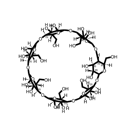 OC[C@H]1OC2O[C@H]3[C@H](O)[C@@H](O)C(O[C@H]4[C@H](O)[C@@H](O)C(O[C@H]5[C@H](O)[C@@H](O)C(O[C@H]6[C@H](O)[C@@H](O)C(O[C@H]7[C@H](O)[C@@H](O)C(O[C@H]8[C@H](O)[C@@H](O)C(OC1[C@H](O)[C@H]2O)O[C@@H]8CO)O[C@@H]7CO)O[C@@H]6CO)O[C@@H]5CO)O[C@@H]4CO)O[C@@H]3CO